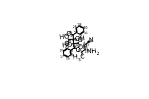 CC[C@@H](N)CC#N.O=C(O)C(O)(C(=O)c1ccccc1)C(O)(C(=O)O)C(=O)c1ccccc1